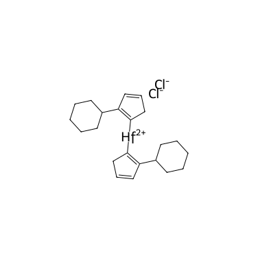 C1=CC(C2CCCCC2)=[C]([Hf+2][C]2=C(C3CCCCC3)C=CC2)C1.[Cl-].[Cl-]